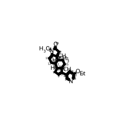 CCOc1cncc(C2=CC[C@H]3[C@@H]4CC=C5N(C)C(=O)C[C@]5(C)[C@@]4(C)CC[C@]23C)c1